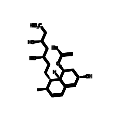 CC[C@H](C)C(=O)O[C@H]1C[C@H](O)C=C2C=C[C@@H](C)[C@H](CC[C@@H](O)C[C@@H](O)CC(=O)O)[C@H]21